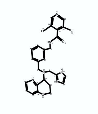 O=C(NCc1cccc(CN(Cc2ncc[nH]2)C2CCOc3cccnc32)c1)c1c(Cl)cncc1Cl